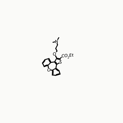 CCOC(=O)c1sc2c(c1OCCCN(C)C)-c1ccccc1Oc1ccccc1-2